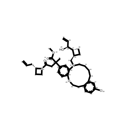 C=CC[C@H]1CCN1C(=O)CC(C)(C(=O)OC)c1ccc2c(c1)N(C[C@@H]1CC[C@H]1[C@@H](O)C=C)CCCCc1cc(Cl)ccc1CCO2